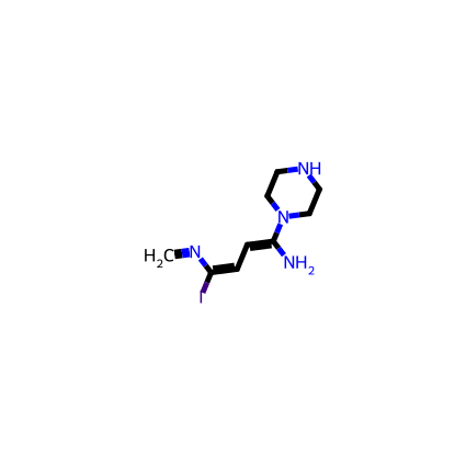 C=N/C(I)=C\C=C(/N)N1CCNCC1